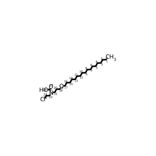 CCCCCCCCCCCCCCCCCCOCCCN(CCCl)C(=O)O